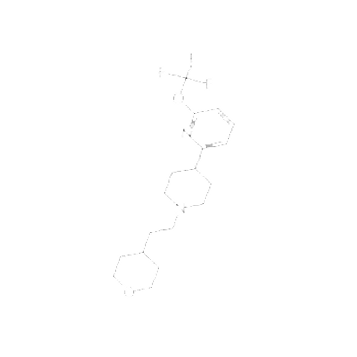 FC(F)(F)Oc1cccc(C2CCN(CCC3CCOCC3)CC2)n1